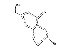 O=c1cc(CO)nc2ccc(Br)cn12